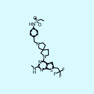 CCS(=O)(=O)Nc1ccc(CN2CCC3(CCN(c4nc(NC)nc5sc(CC(F)(F)F)cc45)C3)C2)cc1